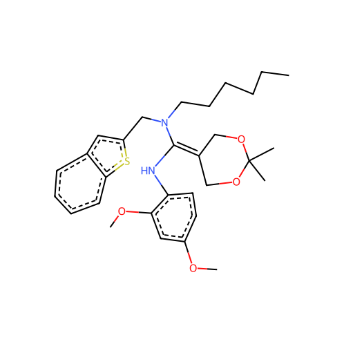 CCCCCCN(Cc1cc2ccccc2s1)C(Nc1ccc(OC)cc1OC)=C1COC(C)(C)OC1